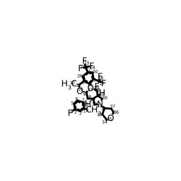 Cc1cc(F)ccc1[C@@H]1[C@@H](O[C@H](C)c2cc(C(F)(F)F)cc(C(F)(F)F)c2)OC[C@@H]2CN(C3CCOCC3)C[C@H]21